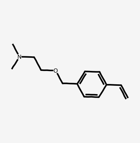 C=Cc1ccc(COCCN(C)C)cc1